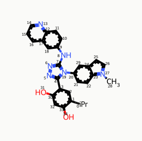 CC(C)c1cc(-c2nnc(Nc3ccc4ncccc4c3)n2-c2ccc3c(ccn3C)c2)c(O)cc1O